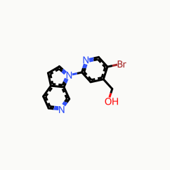 OCc1cc(-n2ccc3ccncc32)ncc1Br